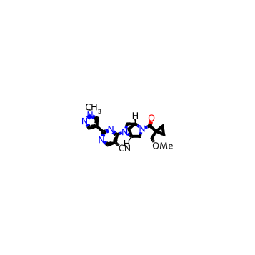 COCC1(C(=O)N2C[C@@H]3C[C@@H]2CN3c2nc(-c3cnn(C)c3)ncc2C#N)CC1